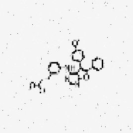 COC(=O)CCc1cccc(Nc2ncnc3oc(-c4ccccc4)c(-c4ccc(OC)cc4)c23)c1